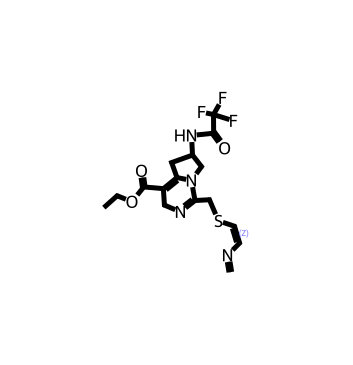 C=N/C=C\SCC1=NCC(C(=O)OCC)=C2CC(NC(=O)C(F)(F)F)CN12